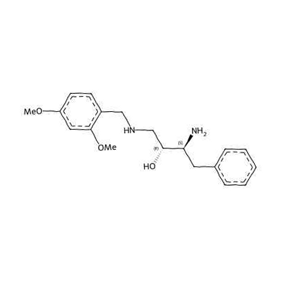 COc1ccc(CNC[C@@H](O)[C@@H](N)Cc2ccccc2)c(OC)c1